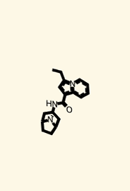 CCc1cc(C(=O)NC2CC3CCC(C2)N3C)c2ccccn12